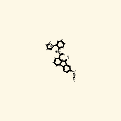 [N-]=[N+]=Nc1ccc2c(c1)C(=O)c1c(C(=O)Nc3ccccc3-n3cccn3)cccc1-2